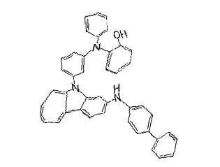 Oc1ccccc1N(c1ccccc1)c1cccc(-n2c3ccccc3c3ccc(Nc4ccc(-c5ccccc5)cc4)cc32)c1